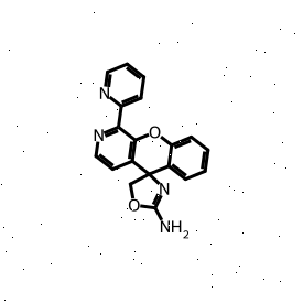 NC1=NC2(CO1)c1ccccc1Oc1c2ccnc1-c1ccccn1